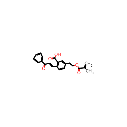 C=C(C)C(=O)OCCc1ccc(C=CC(=O)c2ccccc2)c(C(=O)O)c1